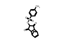 Cc1ccc(S(=O)(=O)OC2C(=O)C3C4C=CC(C4)C3C2=O)cc1